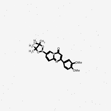 COc1ccc(-c2cc(=O)n3cc(B4OC(C)(C)C(C)(C)O4)ccc3n2)cc1OC